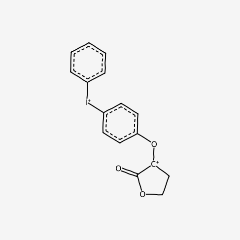 O=C1OCC[C+]1Oc1ccc([I+]c2ccccc2)cc1